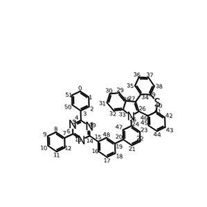 c1ccc(-c2nc(-c3ccccc3)nc(-c3cccc(-c4cccc(-n5c6c(c7ccccc75)-c5ccccc5Sc5ccccc5-6)c4)c3)n2)cc1